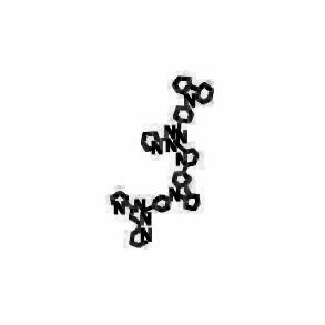 c1ccc(-c2cc(-c3ccccn3)nc(-c3ccc(-n4c5ccccc5c5cc(-c6cccc(-c7nc(-c8ccc(-n9c%10ccccc%10c%10ccccc%109)cc8)nc(-c8ccccn8)n7)n6)ccc54)cc3)n2)nc1